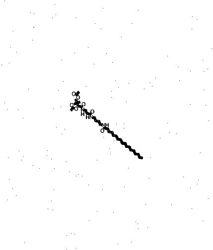 CCCCCCCCC=CCCCCCCCC(=O)NCCCCNC(=O)CCNC(=O)C(OC(C)=O)C(C)(C)COC(C)=O